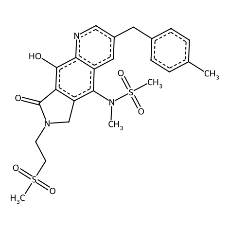 Cc1ccc(Cc2cnc3c(O)c4c(c(N(C)S(C)(=O)=O)c3c2)CN(CCS(C)(=O)=O)C4=O)cc1